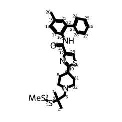 CSSC(C)(C)CN1CCC(c2nc(C(=O)Nc3ccc(C)cc3-c3ccccc3)cs2)CC1